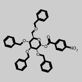 O=C(O[C@H]1O[C@H](COCc2ccccc2)[C@@H](OCc2ccccc2)[C@H](OCc2ccccc2)[C@H]1OCc1ccccc1)c1ccc([N+](=O)[O-])cc1